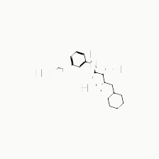 CCOc1cccc(NC(=O)C(O)[C@H](N)CC2CCCCC2)c1